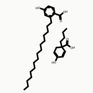 CCCCC1(C(=O)O)C=CC(O)=CC1.CCCCCCCCCCCCCCCCc1cc(O)ccc1C(=O)O